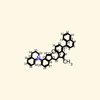 CC1=Cc2c(-c3cccc4ccccc34)cccc2C1CC1C(C)=Cc2c1cccc2N1CCCc2ccccc21